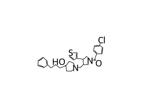 O=C(c1ccc(Cl)cc1)N1CC(CN2CCC(O)(CCCc3ccccc3)CC2)C(c2ccsc2)C1